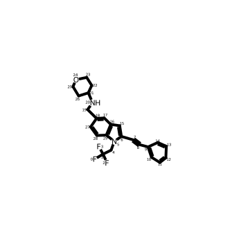 FC(F)(F)Cn1c(C#Cc2ccccc2)cc2cc(CNC3CCOCC3)ccc21